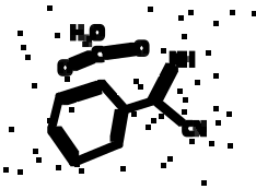 N#CC(=N)c1ccccc1.O.O=C=O